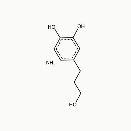 N.OCCCc1ccc(O)c(O)c1